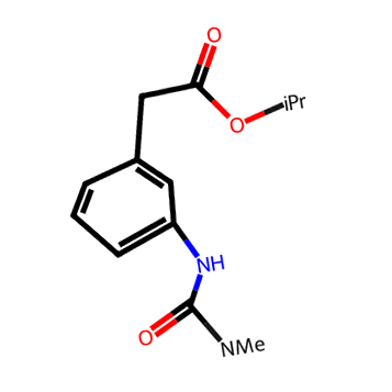 CNC(=O)Nc1cccc(CC(=O)OC(C)C)c1